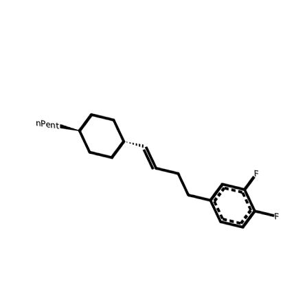 CCCCC[C@H]1CC[C@H](C=CCCc2ccc(F)c(F)c2)CC1